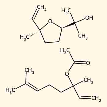 C=CC(C)(CCC=C(C)C)OC(C)=O.C=C[C@]1(C)CC[C@H](C(C)(C)O)O1